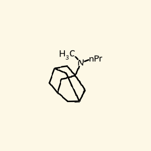 CCCN(C)C12CC3CC(CC(C3)C1)C2